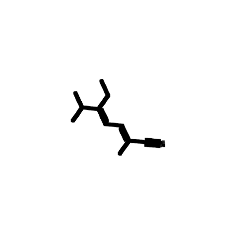 CC/C(=C\C=C(/C)C#N)C(C)C